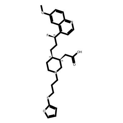 COc1ccc2nccc([C@H](F)CC[C@@H]3CCN(CCCSc4ccco4)C[C@@H]3CC(=O)O)c2c1